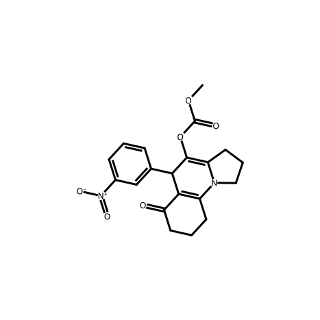 COC(=O)OC1=C2CCCN2C2=C(C(=O)CCC2)C1c1cccc([N+](=O)[O-])c1